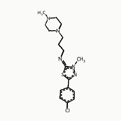 CN1CCN(CCC/N=c2/sc(-c3ccc(Cl)cc3)nn2C)CC1